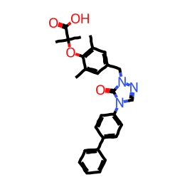 Cc1cc(Cn2ncn(-c3ccc(-c4ccccc4)cc3)c2=O)cc(C)c1OC(C)(C)C(=O)O